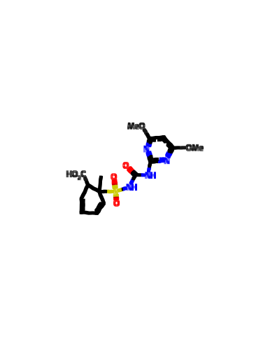 COc1cc(OC)nc(NC(=O)NS(=O)(=O)C2(C)C=CC=CC2C(=O)O)n1